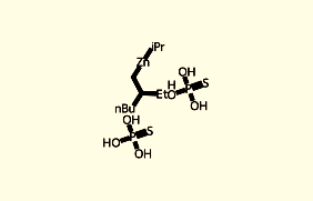 CCCCC(CC)[CH2][Zn][CH](C)C.OP(O)(O)=S.OP(O)(O)=S